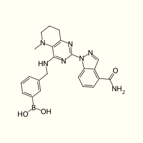 CN1CCCc2nc(-n3ncc4c(C(N)=O)cccc43)nc(NCc3cccc(B(O)O)c3)c21